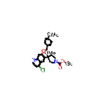 COc1ccc(COc2cc3nccc(Cl)c3cc2C2(OC)CCN(C(=O)OC(C)(C)C)CC2)cc1